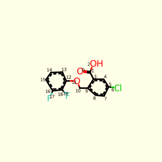 O=C(O)c1cc(Cl)ccc1COc1cccc(F)c1F